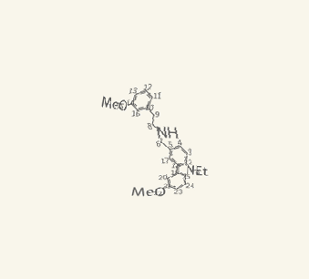 CCn1c2ccc(CNCCc3cccc(OC)c3)cc2c2cc(OC)ccc21